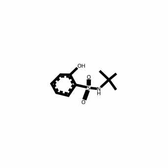 CC(C)(C)NS(=O)(=O)c1ccccc1O